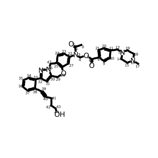 CC(=O)N(COC(=O)c1ccc(CN2CCN(C)CC2)cc1)c1ccc2c(c1)OCc1cc(-c3ccccc3C#CCCCO)nn1C2